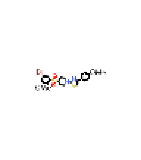 COc1ccc(-c2csc(N3CCC(S(=O)(=O)c4cc(Br)ccc4OC)CC3)n2)cc1